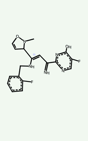 CN1OC=CC1/C(=C/C(=N)c1ncc(F)c(O)n1)NCc1ccccc1F